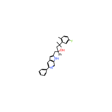 Cc1ccc(F)cc1C(C)(C)CC(O)(Cc1cc2cc(-c3ccccc3)ncc2[nH]1)C(C)C